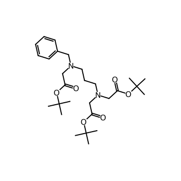 CC(C)(C)OC(=O)CN(CCCN(CC(=O)OC(C)(C)C)Cc1ccccc1)CC(=O)OC(C)(C)C